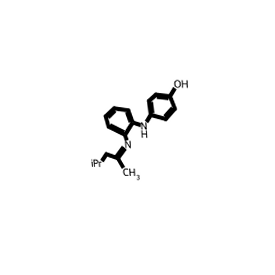 CC(CC(C)C)=Nc1ccccc1Nc1ccc(O)cc1